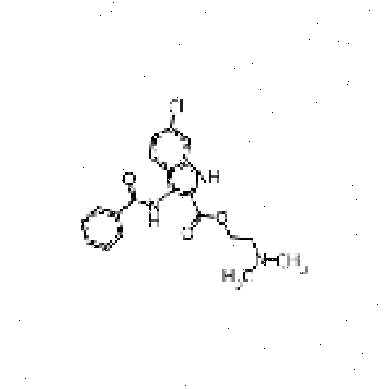 CN(C)CCOC(=O)c1[nH]c2cc(Cl)ccc2c1NC(=O)c1ccccc1